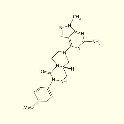 COc1ccc(N2NC[C@H]3CN(c4nc(N)nc5c4cnn5C)CCN3C2=O)cc1